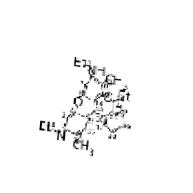 CC/N=c1\cc2oc3cc(NCC)c(C)cc3c(-c3ccccc3C(=O)CC)c-2cc1C